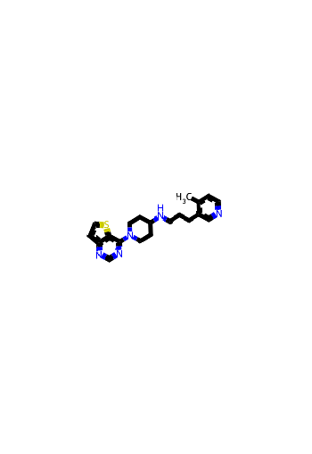 Cc1ccncc1CCCNC1CCN(c2ncnc3ccsc23)CC1